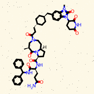 C[C@H]1CN(C(=O)CC[C@H]2CC[C@H](Cc3ccc4c(c3)n(C)c(=O)n4C3CCC(=O)NC3=O)CC2)CC[C@H]2CC[C@@H](C(=O)N[C@@H](CCC(N)=O)C(=O)NC(c3ccccc3)c3ccccc3)N2C1=O